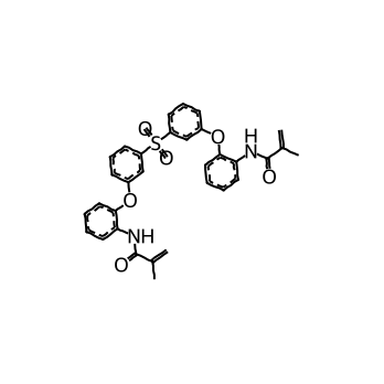 C=C(C)C(=O)Nc1ccccc1Oc1cccc(S(=O)(=O)c2cccc(Oc3ccccc3NC(=O)C(=C)C)c2)c1